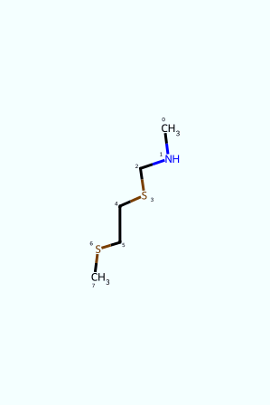 CNCSCCSC